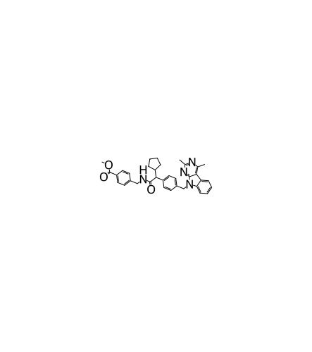 COC(=O)c1ccc(CNC(=O)C(c2ccc(Cn3c4ccccc4c4c(C)nc(C)nc43)cc2)C2CCCC2)cc1